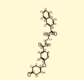 O=C1CCC(Oc2ccc(C(=O)NCCNC(=O)c3ccc4ccccc4c3)cc2)CC1